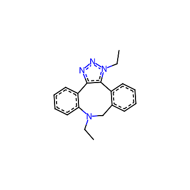 CCN1Cc2ccccc2-c2c(nnn2CC)-c2ccccc21